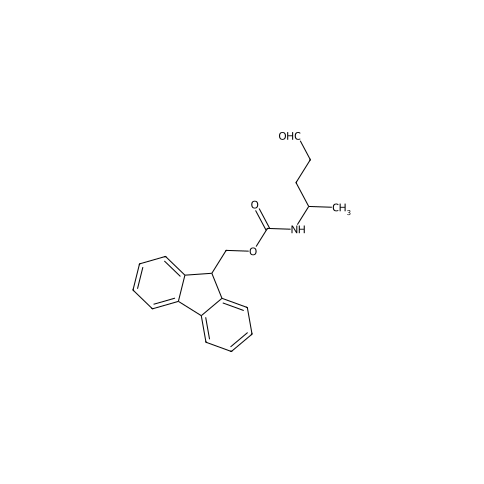 CC(CCC=O)NC(=O)OCC1c2ccccc2-c2ccccc21